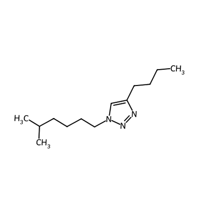 CCCCc1cn(CCCCC(C)C)nn1